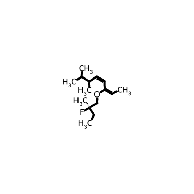 C/C=C(\C=C/C(C)C(C)C)OC[C@](C)(F)CC